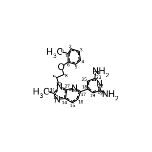 Cc1ccccc1OCCn1c(C)nc2ccc(-c3cc(N)nc(N)c3)nc21